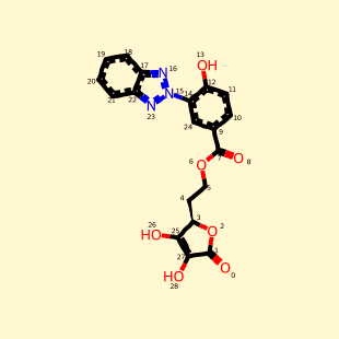 O=C1O[C@H](CCOC(=O)c2ccc(O)c(-n3nc4ccccc4n3)c2)C(O)=C1O